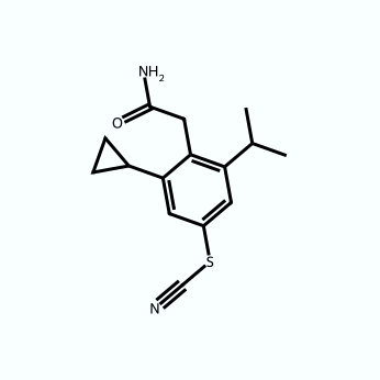 CC(C)c1cc(SC#N)cc(C2CC2)c1CC(N)=O